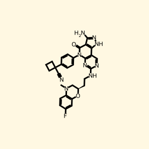 CN1C[C@@H](CCNc2ncc3c4[nH]nc(N)c4c(=O)n(-c4ccc(C5(C#N)CCC5)cc4)c3n2)Oc2cc(F)ccc21